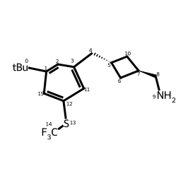 CC(C)(C)c1cc(C[C@H]2C[C@H](CN)C2)cc(SC(F)(F)F)c1